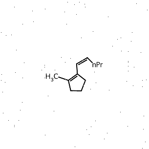 CCC/C=C\C1=C(C)CCC1